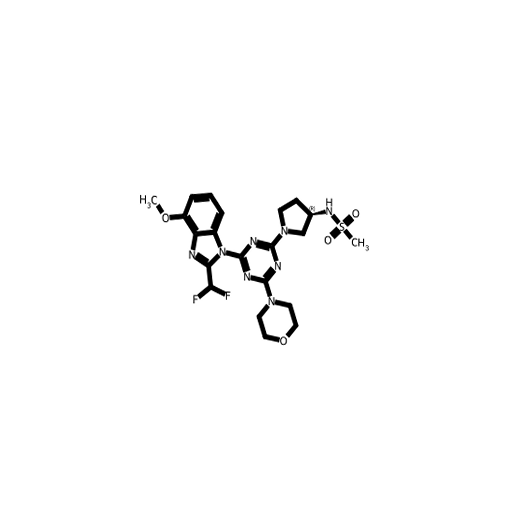 COc1cccc2c1nc(C(F)F)n2-c1nc(N2CCOCC2)nc(N2CC[C@@H](NS(C)(=O)=O)C2)n1